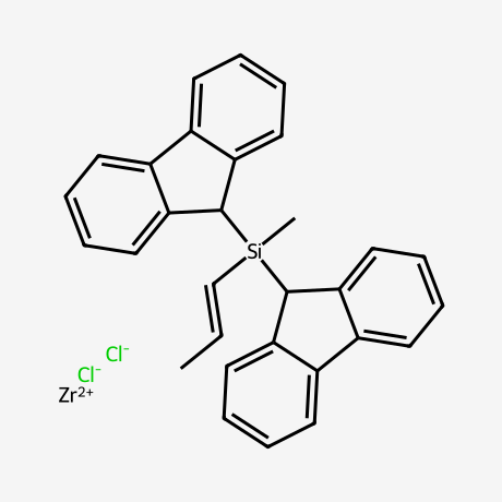 CC=C[Si](C)(C1c2ccccc2-c2ccccc21)C1c2ccccc2-c2ccccc21.[Cl-].[Cl-].[Zr+2]